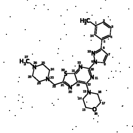 Cc1cccc(-c2ccn(-c3nc(N4CCOCC4)c4nc(CN5CCN(C)CC5)sc4n3)n2)c1